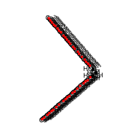 O=C(O)O.O=C(O)O.O=C(O)O.[Ca+2].[Ca+2].[Ca+2].[Ca+2].[Ca+2].[Ca+2].[Ca+2].[Ca+2].[Ca+2].[Ca+2].[Ca+2].[Ca+2].[Ca+2].[Ca+2].[Ca+2].[Ca+2].[Ca+2].[Ca+2].[Ca+2].[Ca+2].[Ca+2].[Ca+2].[Ca+2].[Ca+2].[Ca+2].[Ca+2].[Ca+2].[Ca+2].[Ca+2].[Ca+2].[Ca+2].[Ca+2].[Ca+2].[Ca+2].[Ca+2].[Ca+2].[Ca+2].[Ca+2].[Ca+2].[Ca+2].[Ca+2].[Ca+2].[Ca+2].[Ca+2].[Ca+2].[Ca+2].[Ca+2].[Ca+2].[Ca+2].[Ca+2].[Ca+2].[Ca+2].[Ca+2].[Ca+2].[Ca+2].[Ca+2].[Ca+2].[Ca+2].[Ca+2].[Ca+2].[Ca+2].[Ca+2].[Ca+2].[Ca+2].[Ca+2].[Ca+2].[Ca+2].[Ca+2].[Ca+2].[Ca+2].[Ca+2].[Ca+2].[Ca+2].[Ca+2].[Ca+2].[Ca+2].[Ca+2].[Ca+2].[Ca+2].[Ca+2].[Ca+2].[Ca+2].[Ca+2].[Ca+2].[Ca+2].[Ca+2].[Ca+2].[Ca+2].[Ca+2].[Ca+2].[Ca+2].[Ca+2].[Ca+2].[Ca+2].[Ca+2].[Ca+2].[Ca+2].[Ca+2].[Ca+2].[Ca+2]